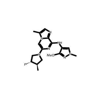 COc1nn(C)cc1Nc1nc(N2C[C@@H](C)[C@H](F)C2)cn2c(C)cnc12